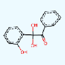 O=C(c1ccccc1)C(O)(O)c1ccccc1O